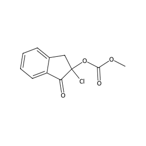 COC(=O)OC1(Cl)Cc2ccccc2C1=O